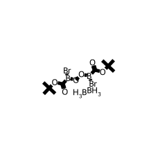 B.B.CC(C)(C)OC(=O)B(Br)OOB(Br)C(=O)OC(C)(C)C